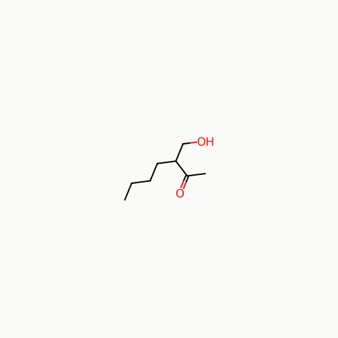 CCCCC(CO)C(C)=O